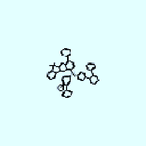 CC1(C)c2ccccc2-c2cc3c(N(c4ccc(-c5ccccc5-c5ccccc5)cc4)c4ccc5oc6ccccc6c5c4)ccc(-c4ccccc4)c3cc21